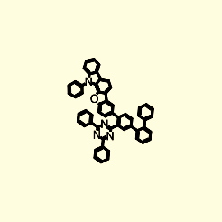 c1ccc(-c2nc(-c3ccccc3)nc(-c3cc(-c4ccccc4-c4ccccc4)ccc3-c3ccc4oc5c(ccc6c7ccccc7n(-c7ccccc7)c65)c4c3)n2)cc1